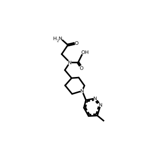 Cc1ccc(N2CCC(CN(CC(N)=O)C(=O)O)CC2)nn1